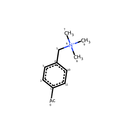 CC(=O)c1ccc(C[N+](C)(C)C)cc1